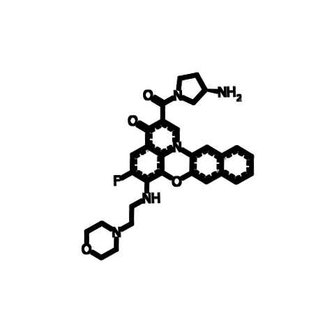 N[C@@H]1CCN(C(=O)c2cn3c4c(c(NCCN5CCOCC5)c(F)cc4c2=O)Oc2cc4ccccc4cc2-3)C1